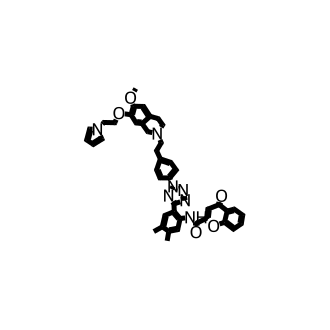 COc1cc2c(cc1OCCn1cccc1)CN(CCc1ccc(-n3nnc(-c4cc(C)c(C)cc4NC(=O)c4cc(=O)c5ccccc5o4)n3)cc1)CC2